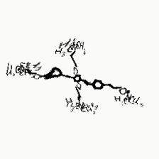 CN(C)COCCCc1ccc(C#Cc2cc(OCCC[N+](C)(C)C)c(C#Cc3ccc(OCCC[N+](C)(C)C)cc3)cc2OCCC[N+](C)(C)C)cc1